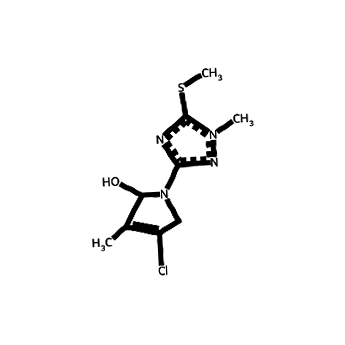 CSc1nc(N2CC(Cl)=C(C)C2O)nn1C